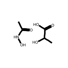 CC(=O)NO.CC(O)C(=O)O